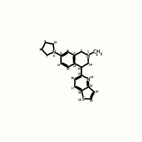 CN1Cc2cc(N3CCCC3)ccc2C(c2ccc3sccc3n2)C1